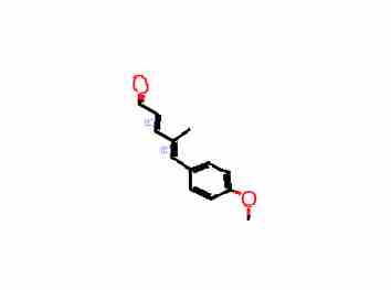 COc1ccc(/C=C(C)/C=C/C=O)cc1